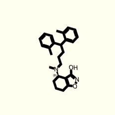 Cc1ccccc1C(CCCN(C)[C@@H]1CCCc2onc(O)c21)c1ccccc1C